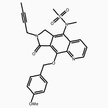 CC#CCN1Cc2c(c(OCc3ccc(OC)cc3)c3ncccc3c2N(C)S(C)(=O)=O)C1=O